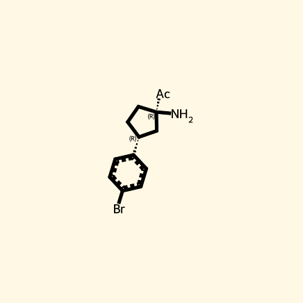 CC(=O)[C@@]1(N)CC[C@@H](c2ccc(Br)cc2)C1